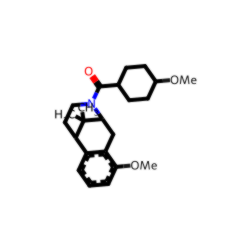 COc1cccc2c1CC1N(C(=O)C3CCC(OC)CC3)CCC2C1(C)C